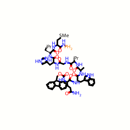 CSCCC(NC(=O)[C@H](CC(C)C)NC(=O)C(Cc1c[nH]cn1)NC(=O)CNC(=O)C(NC(=O)C(C)NC(=O)C(Cc1c[nH]c2ccccc12)NC(=O)C(CCC(N)=O)NC(=O)OCC1c2ccccc2-c2ccccc21)C(C)C)C(=O)NP